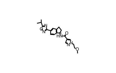 COCCn1cc(C(=O)N[C@@H]2CCc3cc(-c4noc(C(C)C)n4)ccc32)cn1